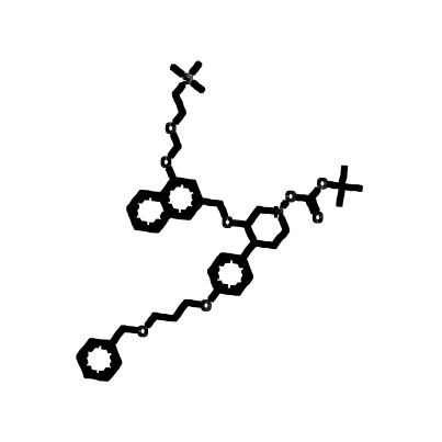 CC(C)(C)OC(=O)ON1CCC(c2ccc(OCCCOCc3ccccc3)cc2)C(OCc2cc(OCOCC[Si](C)(C)C)c3ccccc3c2)C1